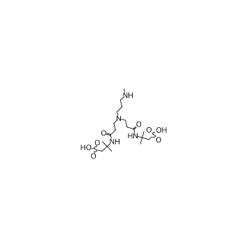 CNCCCN(CCC(=O)NC(C)(C)CS(=O)(=O)O)CCC(=O)NC(C)(C)CS(=O)(=O)O